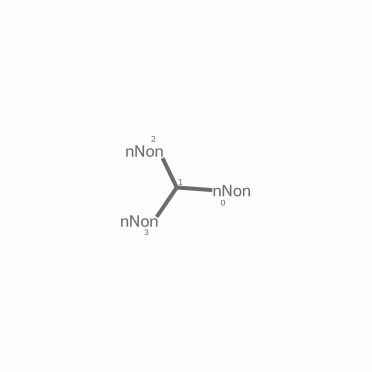 CCCCCCCCCC(CCCCCCCCC)CCCCCCCCC